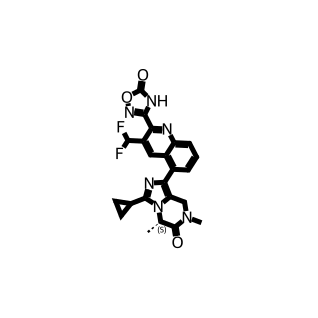 C[C@H]1C(=O)N(C)Cc2c(-c3cccc4nc(-c5noc(=O)[nH]5)c(C(F)F)cc34)nc(C3CC3)n21